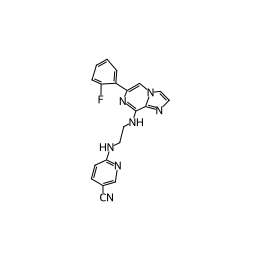 N#Cc1ccc(NCCNc2nc(-c3ccccc3F)cn3ccnc23)nc1